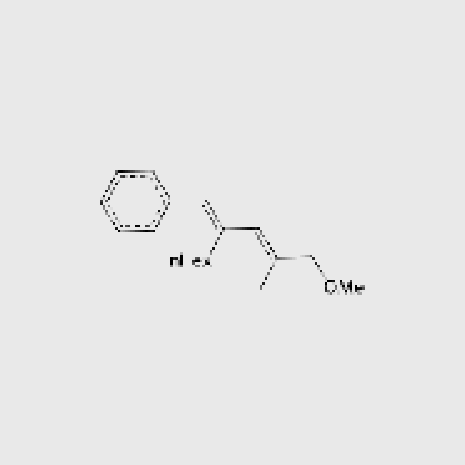 CCCCCCC(/C=C(\C)COC)=C\c1ccccc1